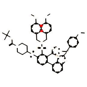 COc1ccc(CN(Cc2ccc(OC)cc2)S(=O)(=O)c2c(S(=O)(=O)C3CCN(C(=O)OC(C)(C)C)CC3)ccc(-c3cccc4nc(N)[nH]c34)c2-c2nnn(Cc3ccc(OC)cc3)n2)cc1